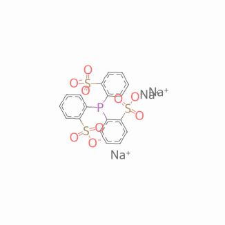 O=S(=O)([O-])c1ccccc1P(c1ccccc1S(=O)(=O)[O-])c1ccccc1S(=O)(=O)[O-].[Na+].[Na+].[Na+]